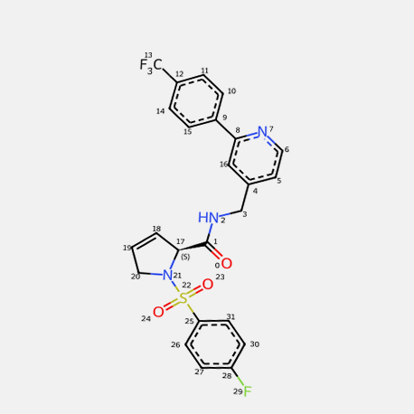 O=C(NCc1ccnc(-c2ccc(C(F)(F)F)cc2)c1)[C@@H]1C=CCN1S(=O)(=O)c1ccc(F)cc1